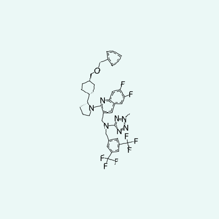 Cn1nnc(N(Cc2cc(C(F)(F)F)cc(C(F)(F)F)c2)Cc2cc3cc(F)c(F)cc3nc2N2CCC[C@@H]2[C@H]2CC[C@H](COCc3ccccc3)CC2)n1